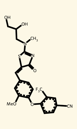 COc1cc(C=C2SC(N(C)CC(O)CO)=NC2=O)ccc1Oc1ccc(C#N)cc1C(F)(F)F